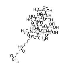 CC(=O)NC1C(O[C@@H]2OC(C)[C@@H](O[C@@H]3OC(CO)[C@@H](O)C(O)C3O)C(O[C@@H]3OC(C(=O)O)[C@@H](O)C(O)C3O[C@@H]3OC(C)[C@@H](O)C(O)[C@@H]3NC(C)=O)C2NC(C)=O)[C@@H](O)C(C)O[C@H]1OCCCCCNC(=O)CCCCC(N)=O